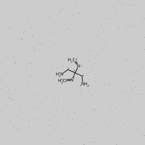 C=NC(CN)(CN)N=C